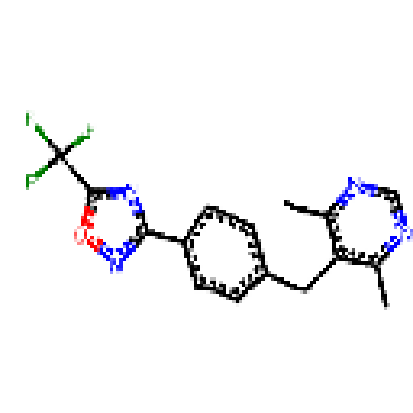 Cc1ncnc(C)c1Cc1ccc(-c2noc(C(F)(F)F)n2)cc1